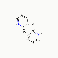 [c]1c2cccnc2cc2cccnc12